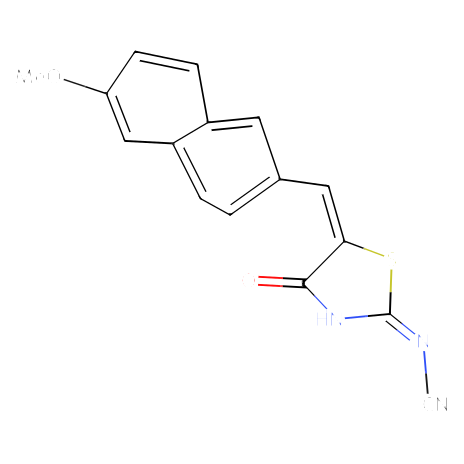 COc1ccc2cc(C=C3SC(=NC#N)NC3=O)ccc2c1